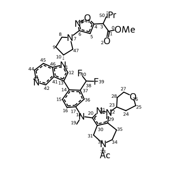 COC(=O)C(c1cc(N2CC[C@@H](n3cc(-c4ccc(N(C)c5nn(C6CCOCC6)c6c5CN(C(C)=O)CC6)cc4C(F)F)c4cnccc43)C2)no1)C(C)C